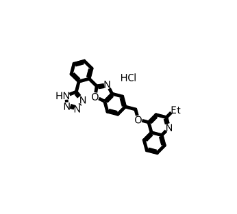 CCc1cc(OCc2ccc3oc(-c4ccccc4-c4nnn[nH]4)nc3c2)c2ccccc2n1.Cl